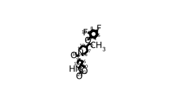 CC(Oc1ccc(F)cc1F)C1CCN(C(=O)[C@H]2C[C@@]3(COC(=O)N3)C2)CC1